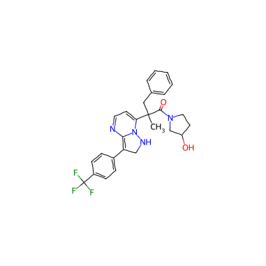 CC(Cc1ccccc1)(C(=O)N1CCC(O)C1)C1=CC=NC2=C(c3ccc(C(F)(F)F)cc3)CNN12